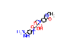 CN1Cc2cc(N3CCO[C@H]([C@@H](O)C(=O)Nc4ccc(C(=N)N)cc4)C3=O)ccc2C1=O